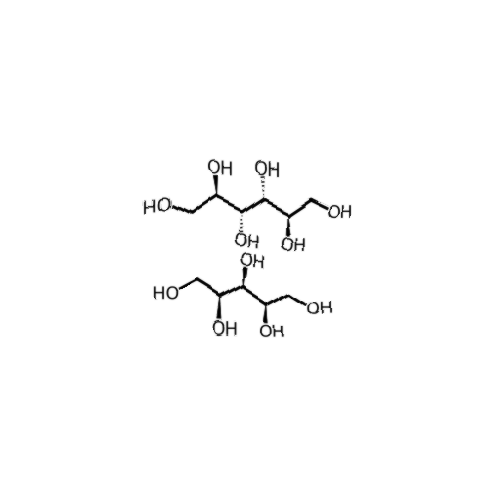 OC[C@@H](O)[C@@H](O)[C@H](O)[C@H](O)CO.OC[C@@H](O)[C@H](O)[C@@H](O)CO